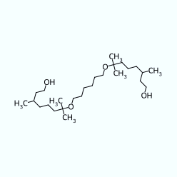 CC(CCO)CCCC(C)(C)OCCCCCCOC(C)(C)CCCC(C)CCO